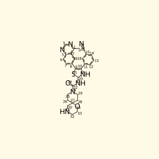 Cc1ncnc2ccc(C3=C(c4cccc(C#N)c4)NC(NC(=O)N4CCC5(CC4)CNCCO5)S3)cc12